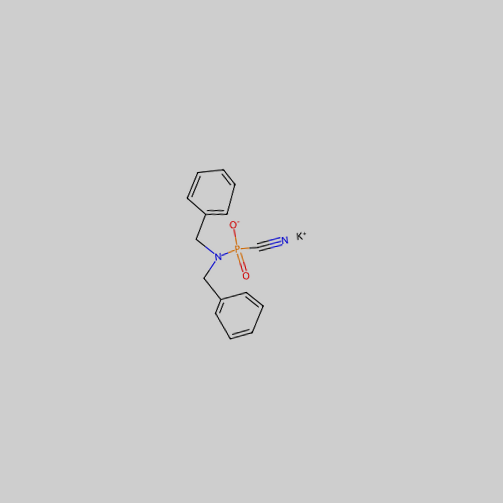 N#CP(=O)([O-])N(Cc1ccccc1)Cc1ccccc1.[K+]